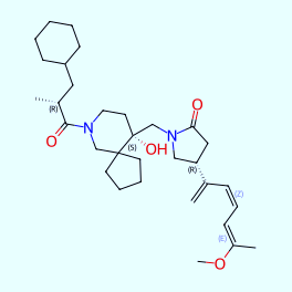 C=C(/C=C\C=C(/C)OC)[C@H]1CC(=O)N(C[C@]2(O)CCN(C(=O)[C@H](C)CC3CCCCC3)CC23CCCC3)C1